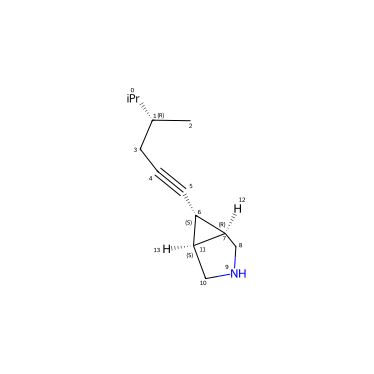 CC(C)[C@H](C)CC#C[C@@H]1[C@H]2CNC[C@@H]12